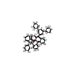 c1ccc(-c2cc(-c3ccccc3)cc(-c3c4ccccc4c(-c4ccccc4-c4nc5ccccc5n4-c4ccccc4)c4ccccc34)c2)cc1